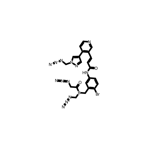 [N-]=[N+]=NCB(Cc1cc(NC(=O)/C=C/c2cnccc2-c2cnn(CN=[N+]=[N-])c2)ccc1Br)C(=O)CN=[N+]=[N-]